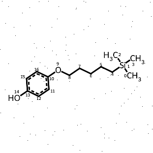 C[Si](C)(C)CCCCCOc1ccc(O)cc1